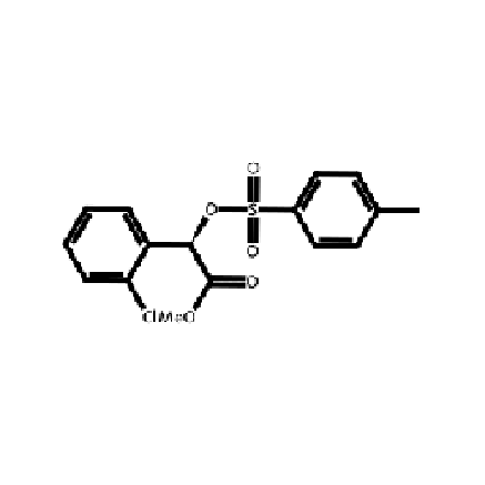 COC(=O)[C@H](OS(=O)(=O)c1ccc(C)cc1)c1ccccc1Cl